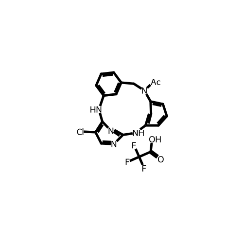 CC(=O)N1Cc2cccc(c2)Nc2nc(ncc2Cl)Nc2cccc1c2.O=C(O)C(F)(F)F